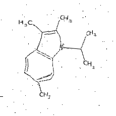 Cc1ccc2c(C)c(C)n(C(C)C)c2c1